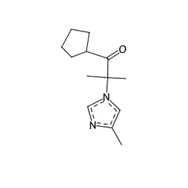 Cc1cn(C(C)(C)C(=O)C2CCCC2)cn1